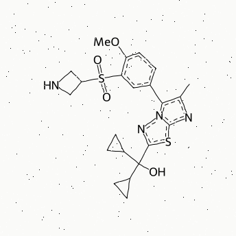 COc1ccc(-c2c(C)nc3sc(C(O)(C4CC4)C4CC4)nn23)cc1S(=O)(=O)C1CNC1